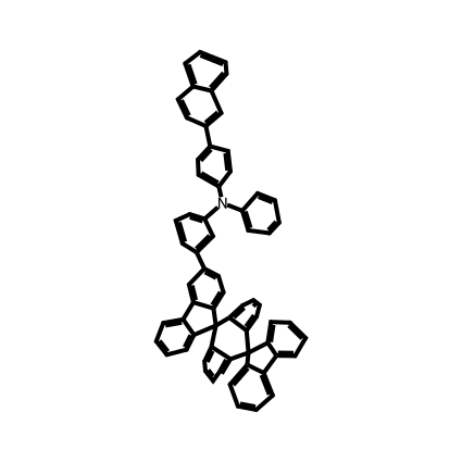 c1ccc(N(c2ccc(-c3ccc4ccccc4c3)cc2)c2cccc(-c3ccc4c(c3)-c3ccccc3C43c4ccccc4C4(c5ccccc5-c5ccccc54)c4ccccc43)c2)cc1